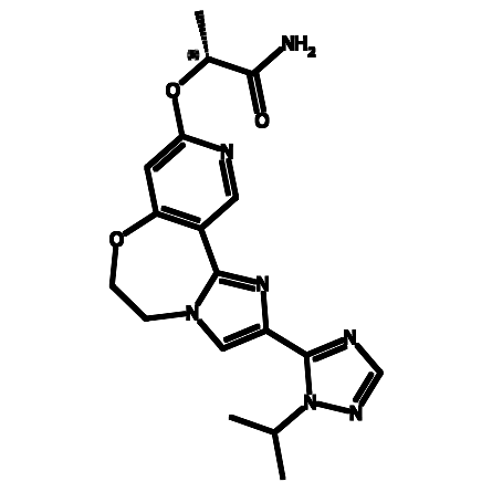 CC(C)n1ncnc1-c1cn2c(n1)-c1cnc(O[C@H](C)C(N)=O)cc1OCC2